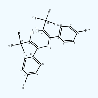 Fc1ccc(C(OC(=C(Cl)C(F)(F)F)c2ccc(F)cc2)=C(Cl)C(F)(F)F)cc1